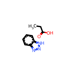 CCC(=O)O.c1ccc2[nH]nnc2c1